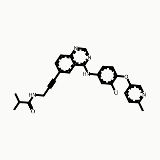 Cc1ccc(Oc2ccc(Nc3ncnc4ccc(C#CCNC(=O)C(C)C)cc34)cc2Cl)cn1